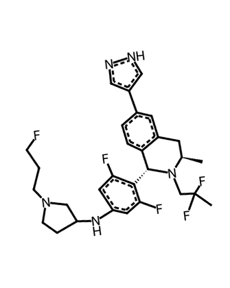 C[C@@H]1Cc2cc(-c3cn[nH]c3)ccc2[C@@H](c2c(F)cc(NC3CCN(CCCF)C3)cc2F)N1CC(C)(F)F